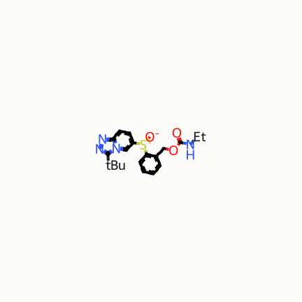 CCNC(=O)OCc1ccccc1[S+]([O-])c1ccc2nnc(C(C)(C)C)n2c1